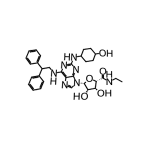 CCNC(=O)[C@H]1O[C@@H](n2cnc3c(NCC(c4ccccc4)c4ccccc4)nc(NC4CCC(O)CC4)nc32)[C@H](O)[C@@H]1O